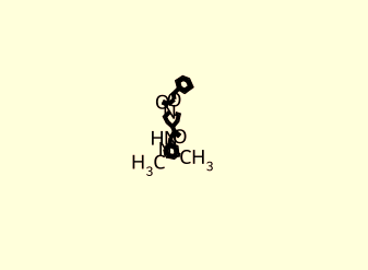 Cc1cc(C)nc(NC(=O)C2CCN(C(=O)OCc3ccccc3)CC2)c1